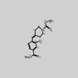 COC(=O)c1ccc(C=C2CCN(C(=O)OC(C)(C)C)CC2)c(Cl)c1